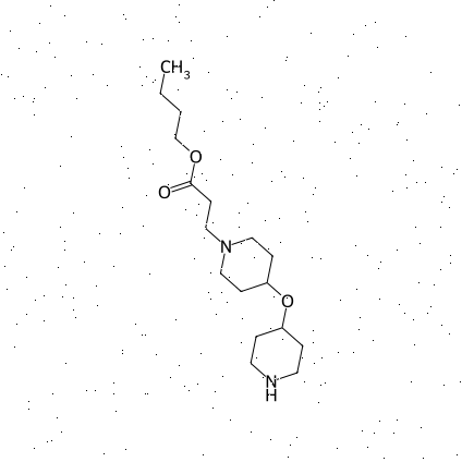 CCCCOC(=O)CCN1CCC(OC2CCNCC2)CC1